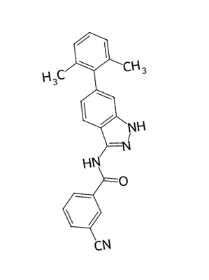 Cc1cccc(C)c1-c1ccc2c(NC(=O)c3cccc(C#N)c3)n[nH]c2c1